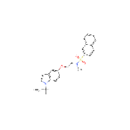 CCCN(CCOc1ccc2c(ccn2C(C)(C)C(=O)O)c1)S(=O)(=O)c1ccc2ccccc2c1